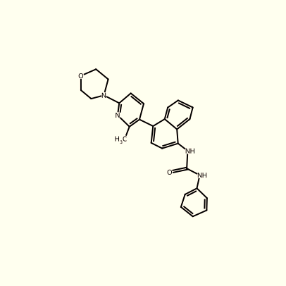 Cc1nc(N2CCOCC2)ccc1-c1ccc(NC(=O)Nc2ccccc2)c2ccccc12